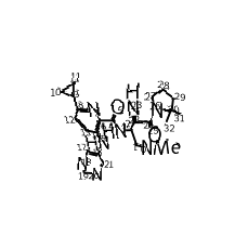 CNCC(NC(=O)c1nc(C2CC2)ccc1Nc1cncnc1)C(=N)C(=O)N1CCCC1(C)C